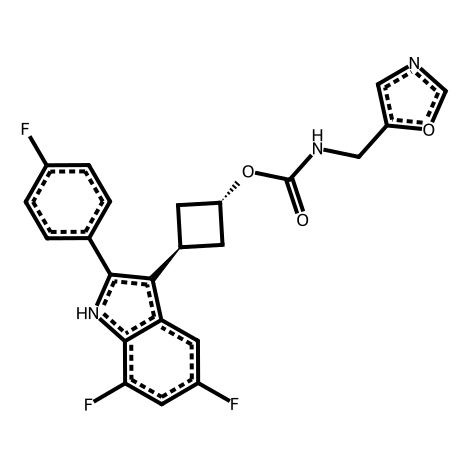 O=C(NCc1cnco1)O[C@H]1C[C@H](c2c(-c3ccc(F)cc3)[nH]c3c(F)cc(F)cc32)C1